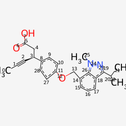 CC#C[C@@H](CC(=O)O)c1ccc(OCc2cccc3c(C(C)C)nn(C)c23)cc1